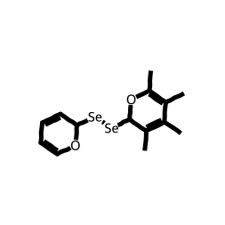 CC1=C(C)C(C)=C(C)C([Se][Se]C2C=CC=CO2)O1